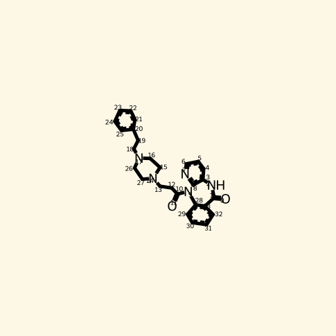 O=C1Nc2cccnc2N(C(=O)CCN2CCN(CCc3ccccc3)CC2)c2ccccc21